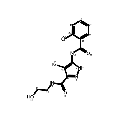 O=C(Nc1[nH]nc(C(=O)NCCO)c1Br)c1ccccc1Cl